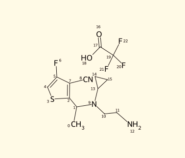 CC(c1scc(F)c1C#N)N(CCN)C1CC1.O=C(O)C(F)(F)F